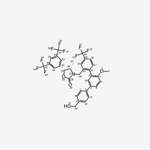 COc1ccc(-c2ccc(CO)cc2)cc1-c1ccc(C(F)(F)F)cc1CN1C(=O)O[C@H](c2cc(C(F)(F)F)cc(C(F)(F)F)c2)[C@@H]1C